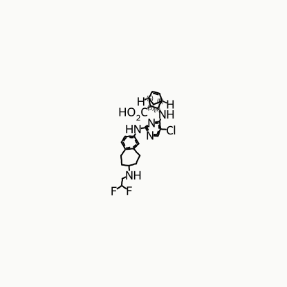 O=C(O)[C@@H]1[C@H](Nc2nc(Nc3ccc4c(c3)CCC(NCC(F)F)CC4)ncc2Cl)[C@H]2C=C[C@@H]1C2